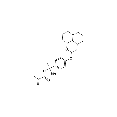 C=C(C)C(=O)OC(C)(CCC)c1ccc(OC2CC3CCCC4CCCC(O2)C43)cc1